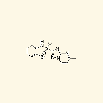 Cc1ccn2nc(S(=O)(=O)Nc3c(C)cccc3Br)nc2n1